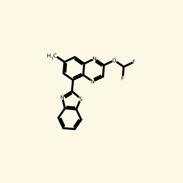 Cc1cc(-c2nc3ccc[c]c3s2)c2ncc(OC(F)F)nc2c1